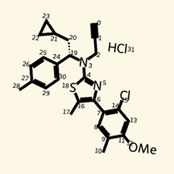 C#CCN(c1nc(-c2cc(C)c(OC)cc2Cl)c(C)s1)[C@@H](CC1CC1)c1ccc(C)cc1.Cl